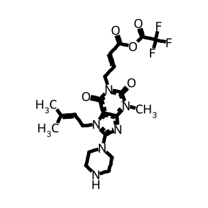 CC(C)=CCn1c(N2CCNCC2)nc2c1c(=O)n(CC=CC(=O)OC(=O)C(F)(F)F)c(=O)n2C